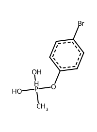 C[PH](O)(O)Oc1ccc(Br)cc1